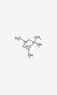 CN(CCO)CC(C)(C)O